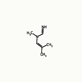 CC(C)=CN(C)C=N